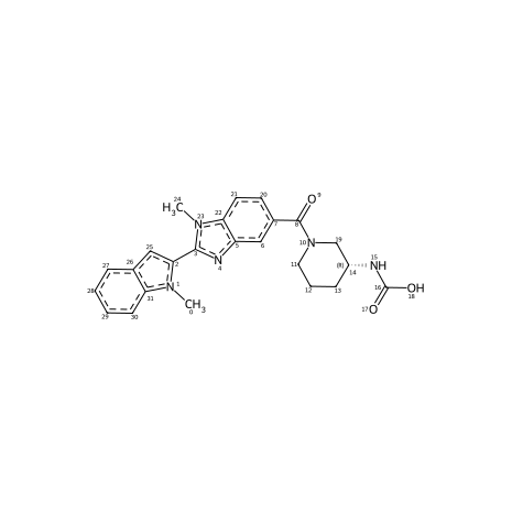 Cn1c(-c2nc3cc(C(=O)N4CCC[C@@H](NC(=O)O)C4)ccc3n2C)cc2ccccc21